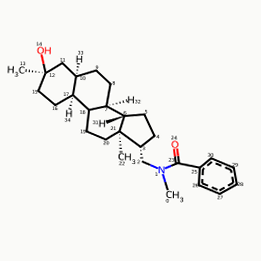 CN(C[C@H]1CC[C@H]2[C@@H]3CC[C@@H]4C[C@](C)(O)CC[C@@H]4C3CC[C@]12C)C(=O)c1ccccc1